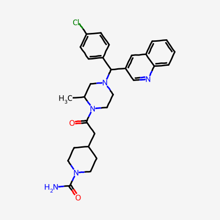 CC1CN(C(c2ccc(Cl)cc2)c2cnc3ccccc3c2)CCN1C(=O)CC1CCN(C(N)=O)CC1